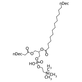 CCCCCCCCCCCCCCCCCCCCCCCC(=O)OC(COC(=O)CCCCCCCCCCC)COP(=O)(O)OCC[N+](C)(C)C